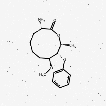 CO[C@H]1CCCC[C@H](N)C(=O)O[C@@H](C)[C@@H]1Oc1ccccc1